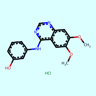 COc1cc2ncnc(Nc3cccc(O)c3)c2cc1OC.Cl